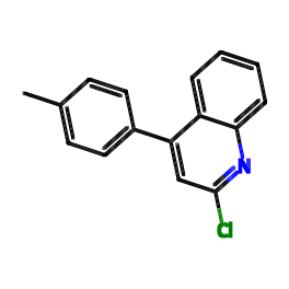 Cc1ccc(-c2cc(Cl)nc3ccccc23)cc1